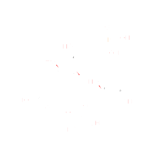 O=C(O)C(=O)C[C@@H](O)[C@H](O)[C@H](O)COP(=O)(O)O.O=C[C@H](O)[C@H](O)COP(=O)(O)O